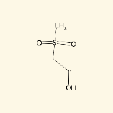 CS(=O)(=O)C[CH]O